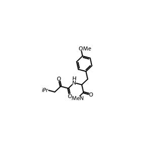 CNC(=O)C(Cc1ccc(OC)cc1)NC(=O)C(=O)CC(C)C